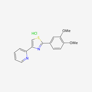 COc1ccc(-c2nc(-c3ccccn3)cs2)cc1OC.Cl